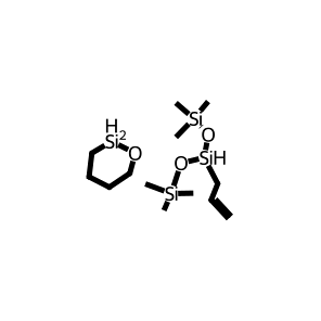 C1CC[SiH2]OC1.C=CC[SiH](O[Si](C)(C)C)O[Si](C)(C)C